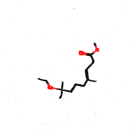 CCOC(C)(C)CCCC(C)=CCC(=O)OC